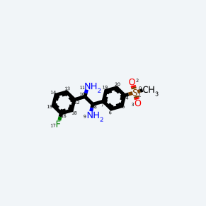 CS(=O)(=O)c1ccc(C(N)C(N)c2cccc(F)c2)cc1